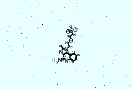 Cc1nc2c(N)nc3ccccc3c2n1CCOCCS(C)(=O)=O